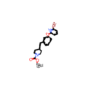 CC(C)(C)OC(=O)N1CCC(=Cc2cccc(Oc3cccc(Br)n3)c2)CC1